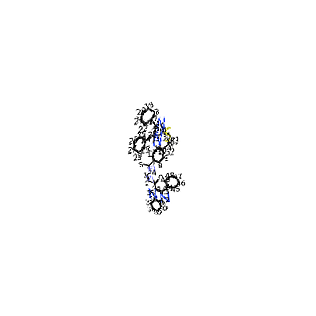 C=C(/C=C\C=C(/C)c1ccc2c(c1)-n1c(nc(-c3ccccc3)c1-c1ccccc1)SC2(C)C)c1nc2ccccc2nc1-c1ccccc1